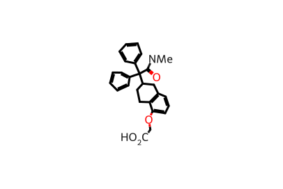 CNC(=O)C(c1ccccc1)(c1ccccc1)C1CCc2c(cccc2OCC(=O)O)C1